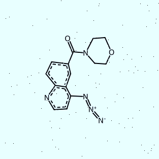 [N-]=[N+]=Nc1ccnc2ccc(C(=O)N3CCOCC3)cc12